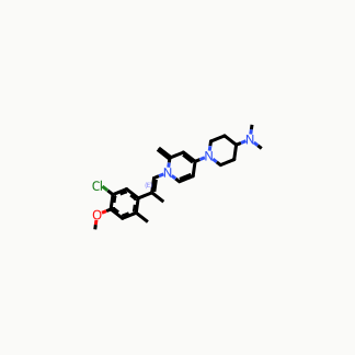 C=C1C=C(N2CCC(N(C)C)CC2)C=CN1/C=C(\C)c1cc(Cl)c(OC)cc1C